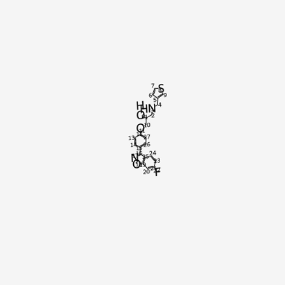 OC(CNCc1ccsc1)COc1ccc(-c2noc3cc(F)ccc23)cc1